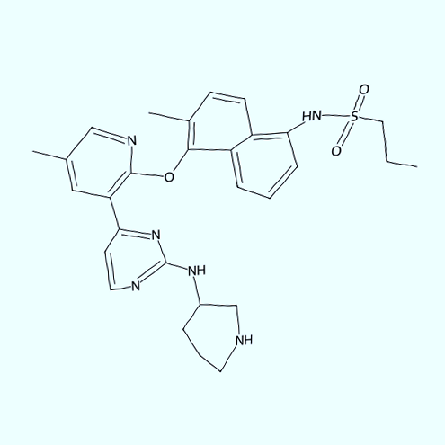 CCCS(=O)(=O)Nc1cccc2c(Oc3ncc(C)cc3-c3ccnc(NC4CCCNC4)n3)c(C)ccc12